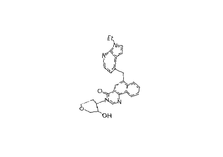 CCn1ccc2c(Cc3cc4c(=O)n(C5CCOCC5O)cnc4c4ccccc34)ccnc21